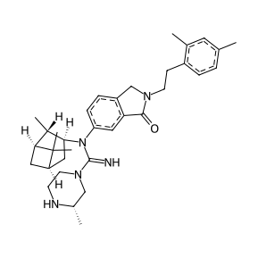 Cc1ccc(CCN2Cc3ccc(N(C(=N)N4CCN[C@@H](C)C4)[C@H]4C[C@H]5C[C@@H]([C@@H]4C)C5(C)C)cc3C2=O)c(C)c1